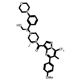 COc1ccc(-c2nc3c(C(=O)N4CCN([C@@H](CO)c5cccc(N6CCOCC6)c5)C[C@H]4C)cnn3c(C(F)(F)F)c2C)cc1